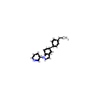 CCc1ccc(-c2ccc3c(ccn3-c3cccnc3)c2)cc1